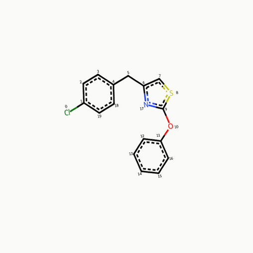 Clc1ccc(Cc2csc(Oc3ccccc3)n2)cc1